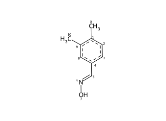 Cc1ccc(C=NO)cc1C